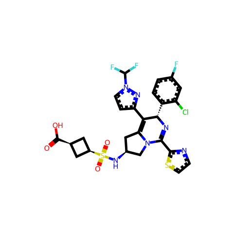 O=C(O)[C@H]1C[C@@H](S(=O)(=O)N[C@H]2CC3=C(c4ccn(C(F)F)n4)[C@H](c4ccc(F)cc4Cl)N=C(c4nccs4)N3C2)C1